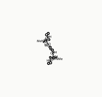 CN[C@@H](C)C(=O)N[C@@H](CCC(=O)Nc1ccc2c(c1)Cc1cc(NC(=O)CC[C@H](NC(=O)[C@H](C)NC)C(=O)N3CCC[C@H]3C(=O)N[C@@H]3CCCc4ccccc43)ccc1-2)C(=O)N1CCC[C@H]1C(=O)N[C@@H]1CCCc2ccccc21